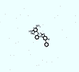 Nc1cc([C@H](Cc2nc3cc(F)c(-c4ccccc4)cc3[nH]2)c2ccccc2)c2nn[nH]c2n1